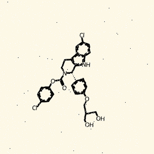 O=C(Oc1ccc(Cl)cc1)N1CCc2c([nH]c3ccc(Cl)cc23)[C@@H]1c1ccc(OCC(CO)CO)cc1